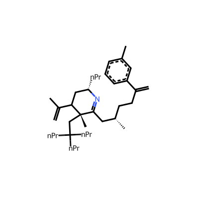 C=C(CC[C@H](C)CC1=N[C@@H](CCC)CC(C(=C)C)[C@@]1(C)CC(CCC)(CCC)CCC)c1cccc(C)c1